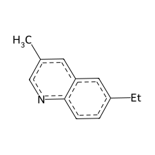 CCc1ccc2ncc(C)cc2c1